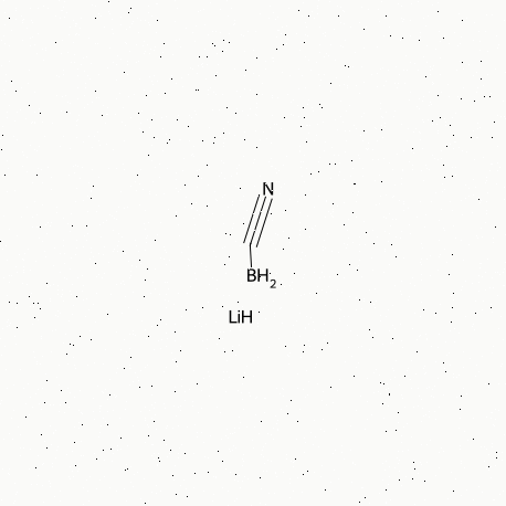 BC#N.[LiH]